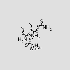 CCSC(N)=S.CCSC(N)=S.NC(=S)[S-].NC(=S)[S-].[Mn+2]